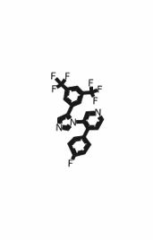 Fc1ccc(-c2ccncc2-n2cncc2-c2cc(C(F)(F)F)cc(C(F)(F)F)c2)cc1